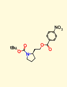 CC(C)(C)OC(=O)N1CCC[C@@H]1CCOC(=O)c1ccc([N+](=O)[O-])cc1